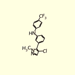 Cn1ncc(Cl)c1-c1cccc(Nc2ccc(C(F)(F)F)cc2)c1